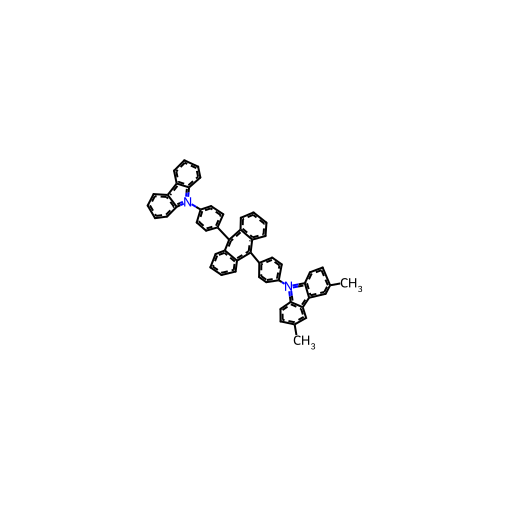 Cc1ccc2c(c1)c1cc(C)ccc1n2-c1ccc(-c2c3ccccc3c(-c3ccc(-n4c5ccccc5c5ccccc54)cc3)c3ccccc23)cc1